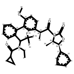 CCN(C(=O)C1CC1)C(c1ccccc1-c1cc([C@H](C)C(=O)N2C(=O)O[C@@H](c3ccccc3)[C@H]2C)ccc1OC)C(F)(F)F